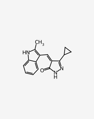 Cc1[nH]c2ccccc2c1C=C1C(=O)NN=C1C1CC1